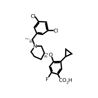 C[C@H](c1cc(Cl)cc(Cl)c1)N1CCC[C@@H](Oc2cc(F)c(C(=O)O)cc2C2CC2)C1